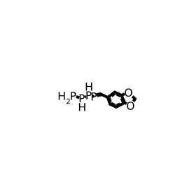 PPP/P=C/c1ccc2c(c1)OCO2